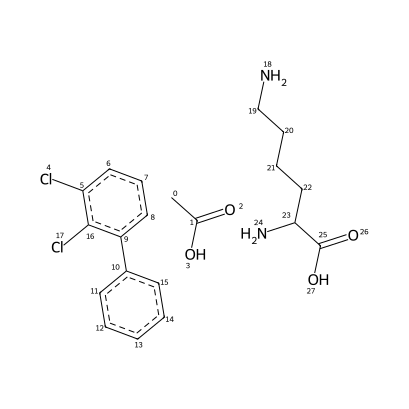 CC(=O)O.Clc1cccc(-c2ccccc2)c1Cl.NCCCCC(N)C(=O)O